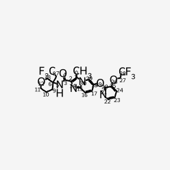 Cc1c(C(=O)NC2(CC(F)(F)F)CCCOC2)nc2ccc(Oc3ncccc3OCC(F)(F)F)cn12